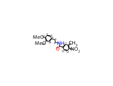 COc1ccc(CCNC(=O)c2ccc([N+](=O)[O-])c(C)c2)cc1OC